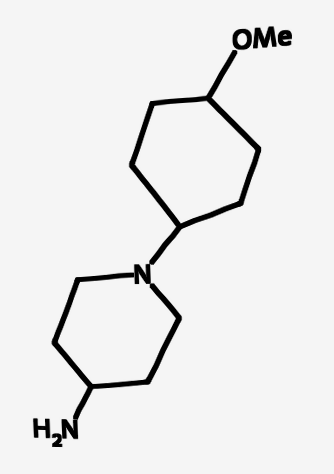 COC1CCC(N2CCC(N)CC2)CC1